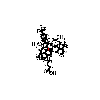 CCC[C@H]1N(C(=O)c2cnccc2C(F)(F)F)CCC[C@@]1(Oc1csc(C(F)(F)F)c1)C(=O)N(C)CCC(CC)(OC)c1ccccc1OCCCC(=O)O